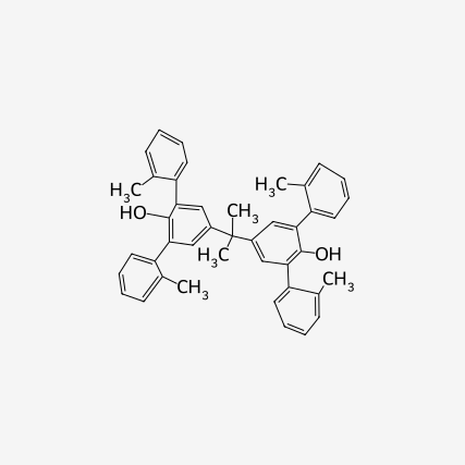 Cc1ccccc1-c1cc(C(C)(C)c2cc(-c3ccccc3C)c(O)c(-c3ccccc3C)c2)cc(-c2ccccc2C)c1O